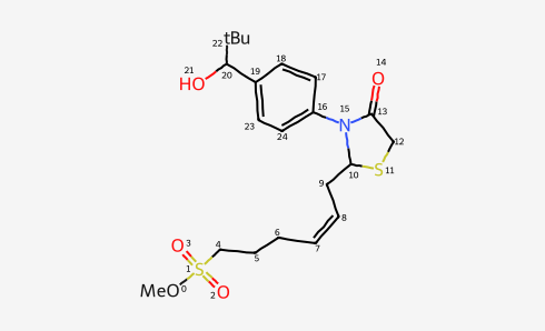 COS(=O)(=O)CCC/C=C\CC1SCC(=O)N1c1ccc(C(O)C(C)(C)C)cc1